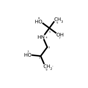 [CH2]C(O)CNC(C)(O)O